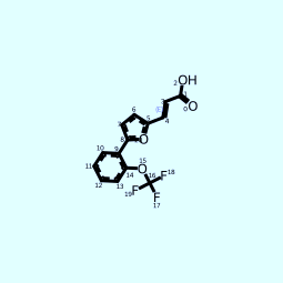 O=C(O)/C=C/c1ccc(-c2ccccc2OC(F)(F)F)o1